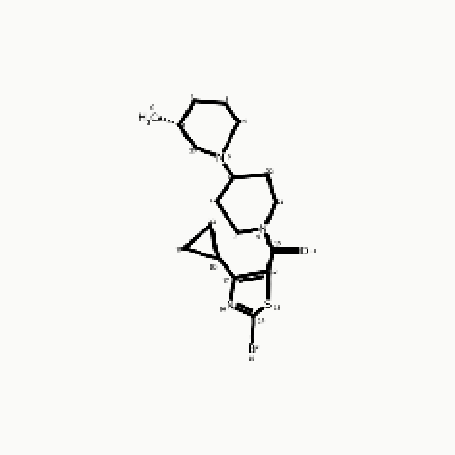 C[C@@H]1CCCN(C2CCN(C(=O)c3sc(Br)nc3C3CC3)CC2)C1